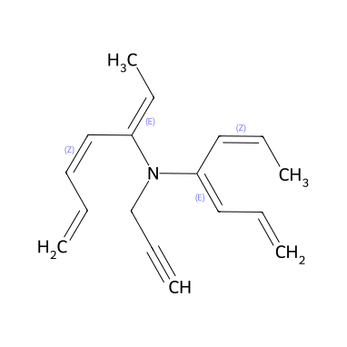 C#CCN(C(/C=C\C=C)=C/C)C(/C=C\C)=C/C=C